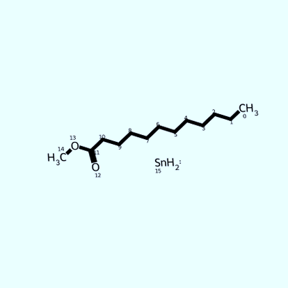 CCCCCCCCCCCC(=O)OC.[SnH2]